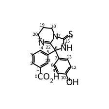 O=C(O)c1cccc(C2(c3ccc(O)cc3)NC(=S)N3CCCN=C32)c1